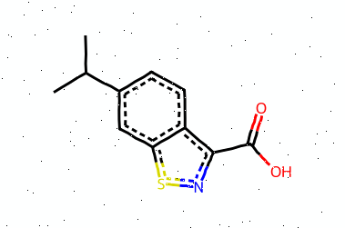 CC(C)c1ccc2c(C(=O)O)nsc2c1